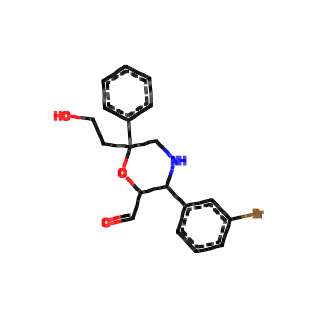 O=CC1OC(CCO)(c2ccccc2)CNC1c1cccc(Br)c1